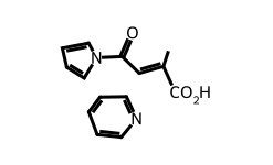 CC(=CC(=O)n1cccc1)C(=O)O.c1ccncc1